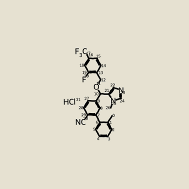 Cc1ccccc1-c1cc(C(OCc2ccc(C(F)(F)F)cc2F)c2cncn2C)ccc1C#N.Cl